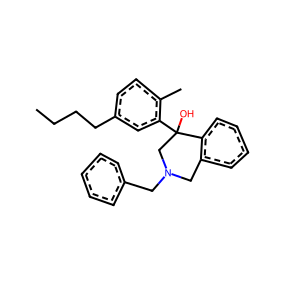 CCCCc1ccc(C)c(C2(O)CN(Cc3ccccc3)Cc3ccccc32)c1